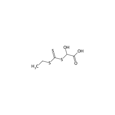 CCSC(=S)SC(O)C(=O)O